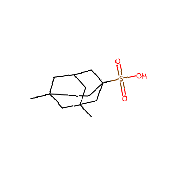 CC12CC3CC(C)(C1)CC(S(=O)(=O)O)(C3)C2